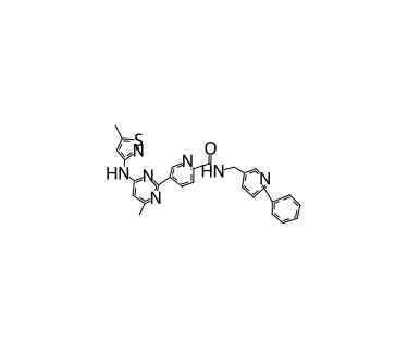 Cc1cc(Nc2cc(C)sn2)nc(-c2ccc(C(=O)NCc3ccc(-c4ccccc4)nc3)nc2)n1